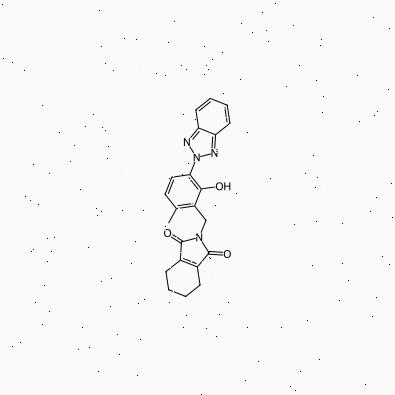 Cc1ccc(-n2nc3ccccc3n2)c(O)c1CN1C(=O)C2=C(CCCC2)C1=O